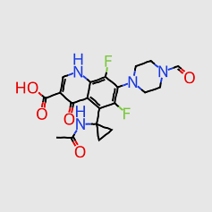 CC(=O)NC1(c2c(F)c(N3CCN(C=O)CC3)c(F)c3[nH]cc(C(=O)O)c(=O)c23)CC1